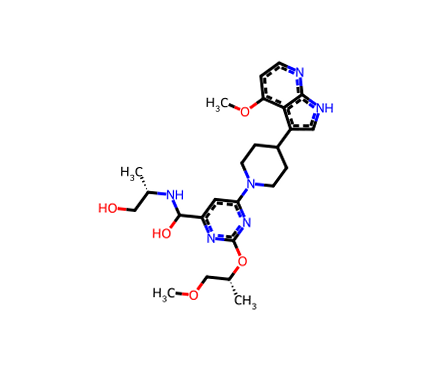 COC[C@@H](C)Oc1nc(C(O)N[C@@H](C)CO)cc(N2CCC(c3c[nH]c4nccc(OC)c34)CC2)n1